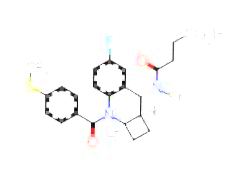 CCN(C(=O)CCC(=O)O)[C@H]1c2cc(F)ccc2N(C(=O)c2ccc(SC(F)(F)F)cc2)[C@@H]2CC[C@@H]21